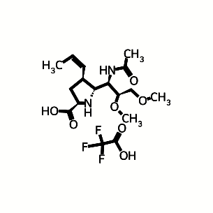 C/C=C\[C@@H]1C[C@H](C(=O)O)N[C@H]1[C@@H](NC(C)=O)[C@@H](COC)OC.O=C(O)C(F)(F)F